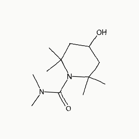 CN(C)C(=O)N1C(C)(C)CC(O)CC1(C)C